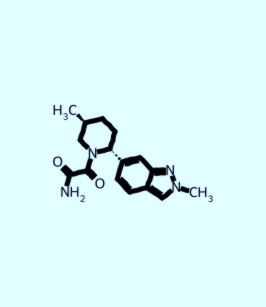 C[C@H]1CC[C@H](c2ccc3cn(C)nc3c2)N(C(=O)C(N)=O)C1